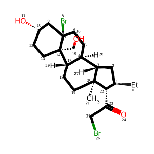 CC[C@@H]1C[C@H]2[C@@H]3CC[C@@]4(Br)C[C@@H](O)CC[C@]4(CO)[C@H]3CC[C@]2(C)[C@H]1C(=O)CBr